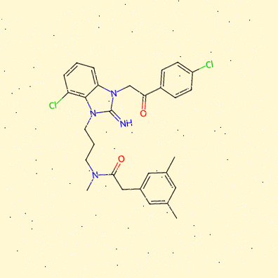 Cc1cc(C)cc(CC(=O)N(C)CCCn2c(=N)n(CC(=O)c3ccc(Cl)cc3)c3cccc(Cl)c32)c1